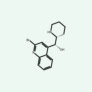 O[C@H](c1cc(Br)nc2ccccc12)[C@H]1CCCCN1